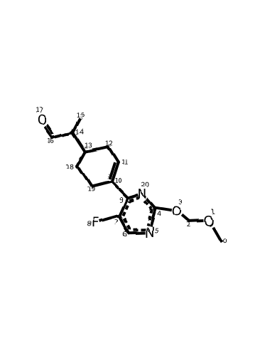 COCOc1ncc(F)c(C2=CCC(C(C)C=O)CC2)n1